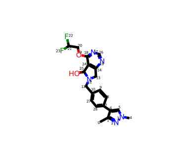 Cc1nn(C)cc1-c1ccc(CN2Cc3ncnc(OCC(F)F)c3C2O)cc1